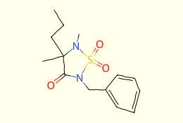 CCCC1(C)C(=O)N(Cc2ccccc2)S(=O)(=O)N1C